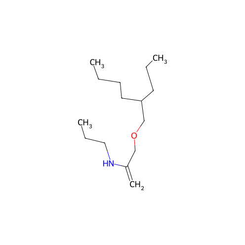 C=C(COCC(CCC)CCCC)NCCC